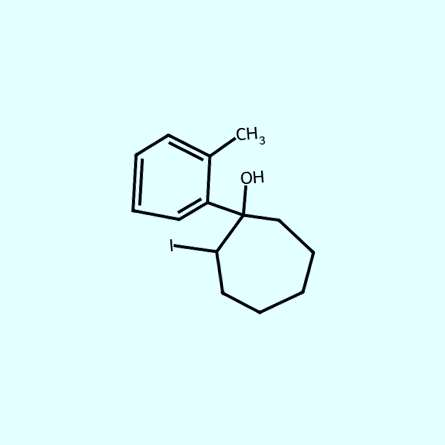 Cc1ccccc1C1(O)CCCCCC1I